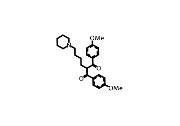 COc1ccc(C(=O)C(CCCCN2CCCCC2)C(=O)c2ccc(OC)cc2)cc1